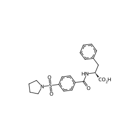 O=C(N[C@@H](Cc1ccccc1)C(=O)O)c1ccc(S(=O)(=O)N2CCCC2)cc1